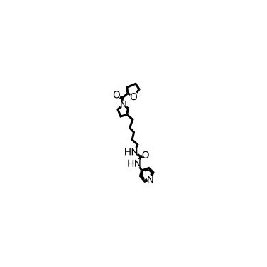 O=C(NCCCCCC1CCN(C(=O)C2CCCO2)C1)Nc1ccncc1